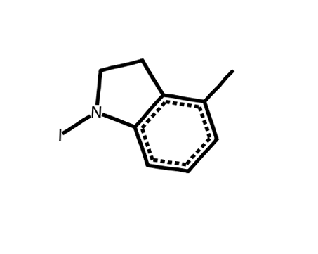 Cc1cccc2c1CCN2I